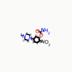 CN1CCN(c2ccc([N+](=O)[O-])c(OC(N)=O)c2)CC1